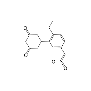 CCc1ccc(C=S(=O)=O)cc1C1CC(=O)CC(=O)C1